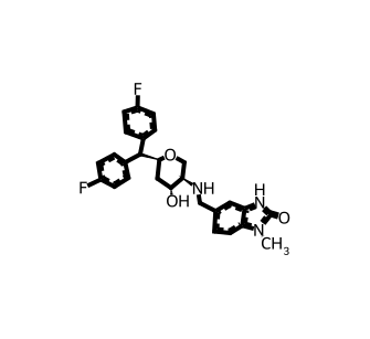 Cn1c(=O)[nH]c2cc(CN[C@@H]3CO[C@H](C(c4ccc(F)cc4)c4ccc(F)cc4)C[C@H]3O)ccc21